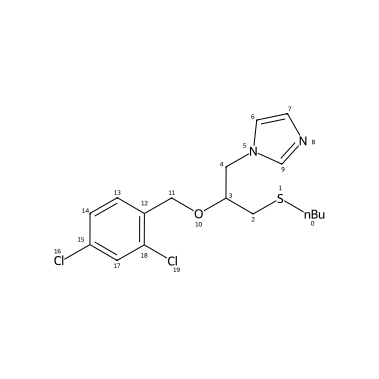 CCCCSCC(Cn1ccnc1)OCc1ccc(Cl)cc1Cl